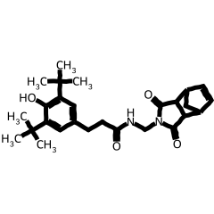 CC(C)(C)c1cc(CCC(=O)NCN2C(=O)C3C4C=CC(C4)C3C2=O)cc(C(C)(C)C)c1O